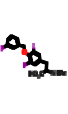 CC(=O)NC(Cc1cc(I)c(OCc2cccc(I)c2)c(I)c1)C(=O)O